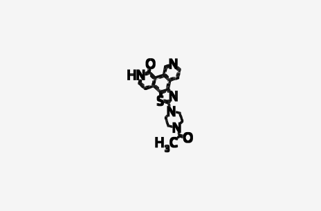 CC(=O)N1CCN(c2nc3c4ccncc4c4c(=O)[nH]ccc4c3s2)CC1